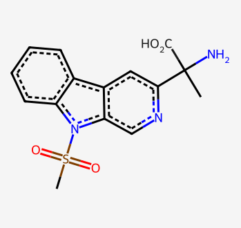 CC(N)(C(=O)O)c1cc2c3ccccc3n(S(C)(=O)=O)c2cn1